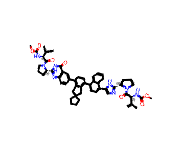 COC(=O)N[C@H](C(=O)N1CCC[C@H]1c1ncc(-c2ccc(-c3ccc(-c4ccc5nc([C@@H]6CCCN6C(=O)[C@@H](NC(=O)OC)C(C)C)[nH]c(=O)c5c4)c4c3CC3(CCCC3)C4)c3ccccc23)[nH]1)C(C)C